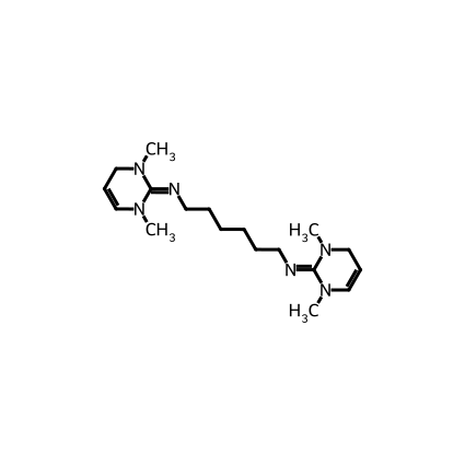 CN1C=CCN(C)C1=NCCCCCCN=C1N(C)C=CCN1C